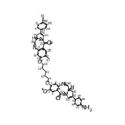 COc1cc2c(cc1OCCCCCOc1cc3c(cc1C)C(=O)N1C=C(c4ccc(C)cc4)C[C@H]1C=N3)N=C[C@@H]1CC(c3ccc(N)cc3)=CN1C2=O